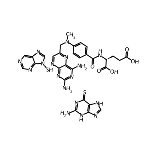 CN(Cc1cnc2nc(N)nc(N)c2n1)c1ccc(C(=O)N[C@@H](CCC(=O)O)C(=O)O)cc1.Nc1nc(=S)c2[nH]cnc2[nH]1.Sn1cnc2cncnc21